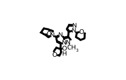 CN1CC(c2ccnn2C2CCCCO2)=C2N=C(N3CC4CCC(C3)O4)C=C(C3(O)CCOCC3)N21